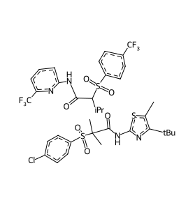 CC(C)C(C(=O)Nc1cccc(C(F)(F)F)n1)S(=O)(=O)c1ccc(C(F)(F)F)cc1.Cc1sc(NC(=O)C(C)(C)S(=O)(=O)c2ccc(Cl)cc2)nc1C(C)(C)C